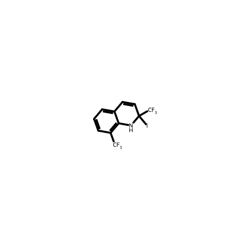 FC(F)(F)c1cccc2c1NC(I)(C(F)(F)F)C=C2